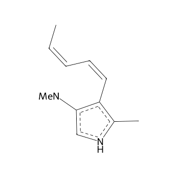 C/C=C\C=C/c1c(NC)c[nH]c1C